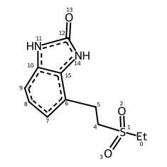 CCS(=O)(=O)CCc1cccc2[nH]c(=O)[nH]c12